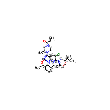 C=CC(=O)N1CCN(c2nc(=O)n(-c3c(CC)cccc3CC)c3nc(N4CCOC(C(C)C)C4)c(Cl)cc23)[C@@H](C)C1